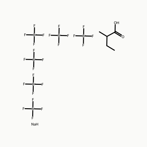 CCC(C)C(=O)O.F[B-](F)(F)F.F[B-](F)(F)F.F[B-](F)(F)F.F[B-](F)(F)F.F[B-](F)(F)F.F[B-](F)(F)F.[NaH]